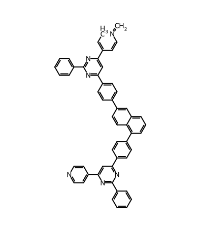 C=N/C=C\C(=C/C)c1cc(-c2ccc(-c3ccc4c(-c5ccc(-c6cc(-c7ccncc7)nc(-c7ccccc7)n6)cc5)cccc4c3)cc2)nc(-c2ccccc2)n1